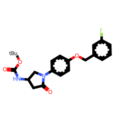 CC(C)(C)OC(=O)NC1CC(=O)N(c2ccc(OCc3cccc(F)c3)cc2)C1